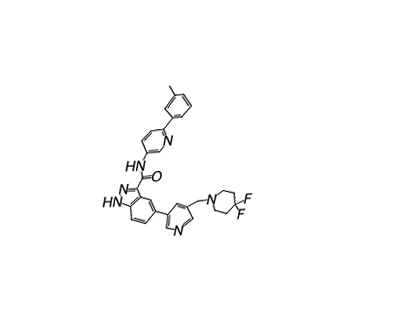 Cc1cccc(-c2ccc(NC(=O)c3n[nH]c4ccc(-c5cncc(CN6CCC(F)(F)CC6)c5)cc34)cn2)c1